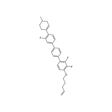 C=CCCCOc1ccc(-c2ccc(-c3ccc(C4=CCC(C)CC4)c(F)c3)cc2)c(F)c1F